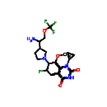 COC1=c2c(c(=O)[nH]c(=O)n2C2CC2)=CC(F)C1N1CCC(C(N)COC(F)(F)F)C1